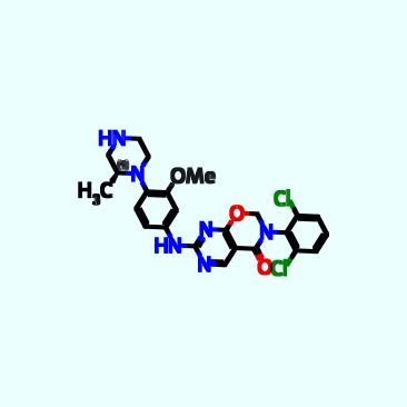 COc1cc(Nc2ncc3c(n2)OCN(c2c(Cl)cccc2Cl)C3=O)ccc1N1CCNC[C@@H]1C